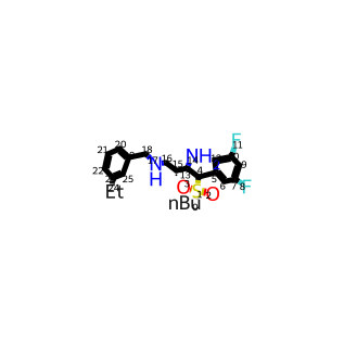 CCCCS(=O)(=O)C(c1cc(F)cc(F)c1)C(N)[CH]CNCc1cccc(CC)c1